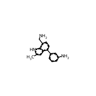 Cc1cc2c(-c3cccc(N)c3)ccc(CN)c2[nH]1